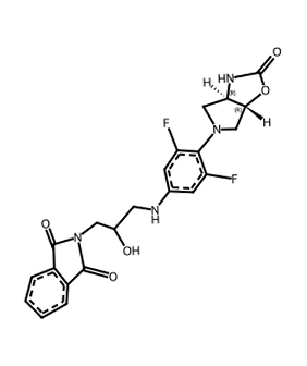 O=C1N[C@@H]2CN(c3c(F)cc(NCC(O)CN4C(=O)c5ccccc5C4=O)cc3F)C[C@H]2O1